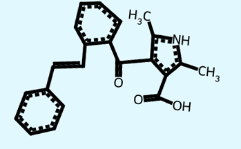 Cc1[nH]c(C)c(C(=O)c2ccccc2C=Cc2ccccc2)c1C(=O)O